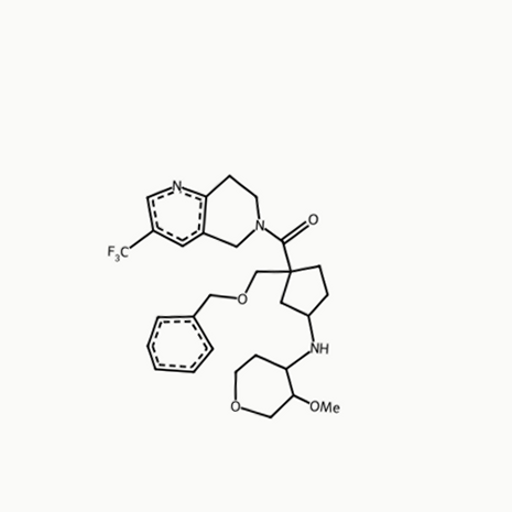 COC1COCCC1NC1CCC(COCc2ccccc2)(C(=O)N2CCc3ncc(C(F)(F)F)cc3C2)C1